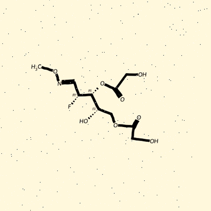 CON=C[C@@H](F)[C@H](OC(=O)CO)[C@@H](O)COC(=O)CO